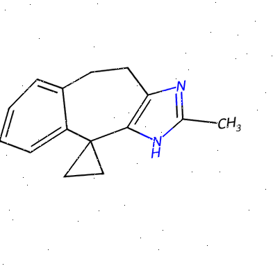 Cc1nc2c([nH]1)C1(CC1)c1ccccc1CC2